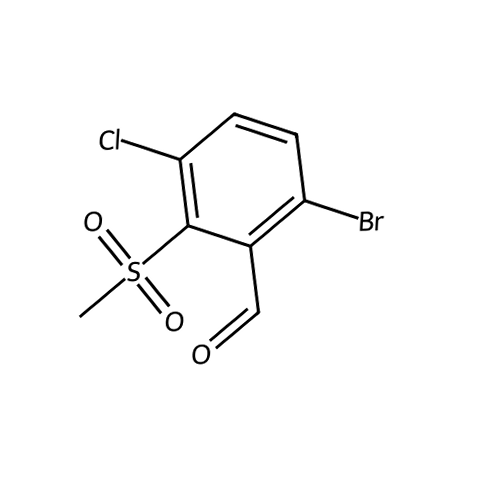 CS(=O)(=O)c1c(Cl)ccc(Br)c1C=O